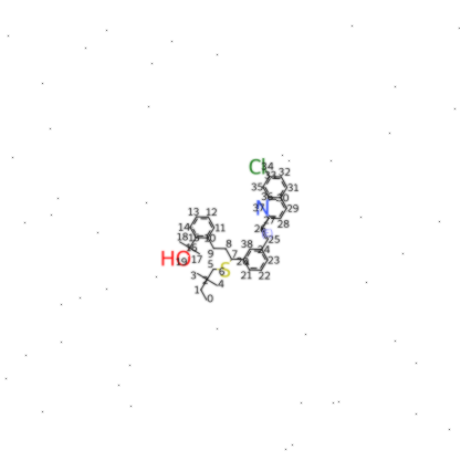 CCC(C)(C)CSC(CCc1ccccc1C(C)(C)O)c1cccc(/C=C/c2ccc3ccc(Cl)cc3n2)c1